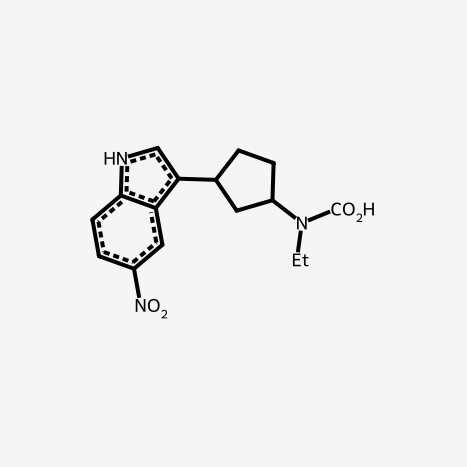 CCN(C(=O)O)C1CCC(c2c[nH]c3ccc([N+](=O)[O-])cc23)C1